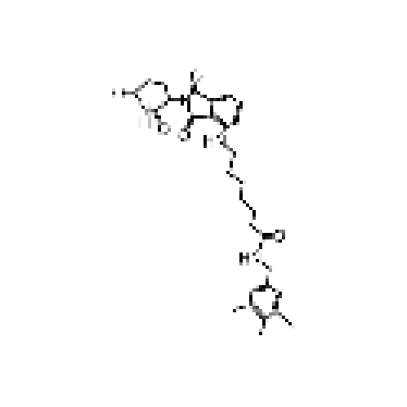 Cc1cc(CNC(=O)CCCCCCNc2cccc3c2C(=O)N(C2CCC(=O)NC2=O)C3=O)cc(C)c1C